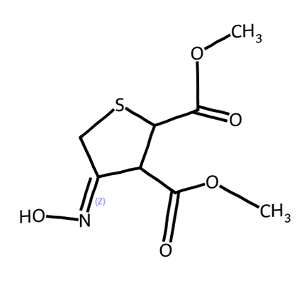 COC(=O)C1SC/C(=N\O)C1C(=O)OC